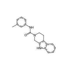 Cc1cccc(NC(=O)N2CCc3c([nH]c4ccccc34)C2)c1